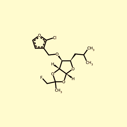 CC(C)C[C@H]1O[C@@H]2OC(C)(CF)O[C@@H]2[C@H]1OCc1ccoc1Cl